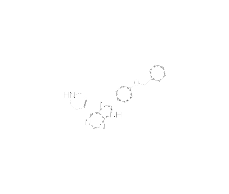 C1=C(c2ncnc3[nH]c(-c4ccc(OCc5ccccc5)cc4)nc23)CCNC1